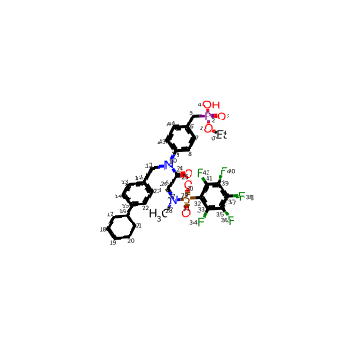 CCOP(=O)(O)Cc1ccc(N(Cc2ccc(C3CCCCC3)cc2)C(=O)CN(C)S(=O)(=O)c2c(F)c(F)c(F)c(F)c2F)cc1